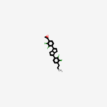 CCCc1ccc(C2=CCC3C(c4ccc(C5CO5)c(F)c4F)=CCC23)c(F)c1F